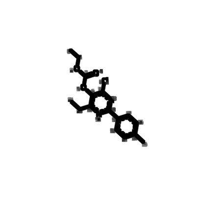 CCOC(=O)Oc1c(Cl)nc(-c2ccc(C)cc2)nc1CC